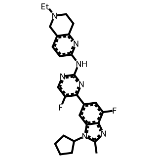 CCN1CCc2nc(Nc3ncc(F)c(-c4cc(F)c5nc(C)n(C6CCCC6)c5c4)n3)ccc2C1